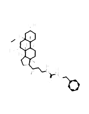 CC[C@H]1[C@@H](O)[C@@H]2[C@H](CC[C@]3(C)[C@@H]([C@H](C)CCNC(=O)NSCc4ccccc4)CC[C@@H]23)[C@@]2(C)CC[C@@H](O)C[C@@H]12